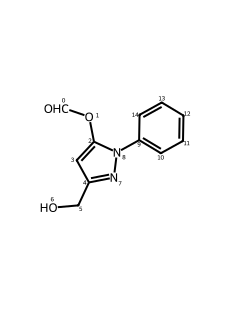 O=COc1cc(CO)nn1-c1ccccc1